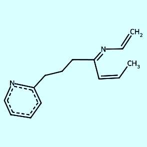 C=C/N=C(\C=C/C)CCCc1ccccn1